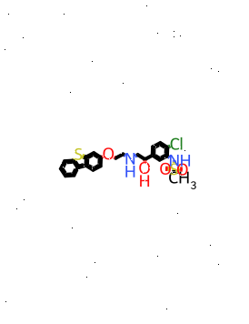 CS(=O)(=O)Nc1cc(C(O)CNCCOc2ccc3c(c2)sc2ccccc23)ccc1Cl